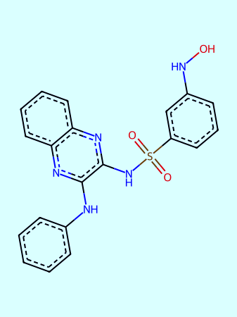 O=S(=O)(Nc1nc2ccccc2nc1Nc1ccccc1)c1cccc(NO)c1